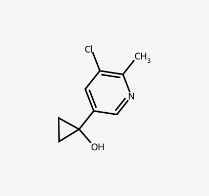 Cc1ncc(C2(O)CC2)cc1Cl